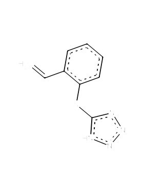 C=Cc1ccccc1Sc1nnn[nH]1